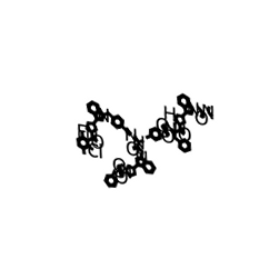 CN(C)C(=O)Cn1cc(C2CCN(S(=O)(=O)Cc3ccccc3)C2)c2ccccc21.Cc1ccc(F)c(C(=O)N2CCC(c3cn(Cc4ccc(C#N)cc4)c4ccccc34)C2)c1Cl.Cc1ccc(S(=O)(=O)NC(Cc2ccccc2)C(=O)N2CCC(c3cn(CC(=O)N(C)C)c4ccccc34)C2)cc1